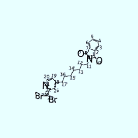 O=C1c2ccccc2C(=O)N1CCCCCCCc1ccnc(C(Br)Br)c1